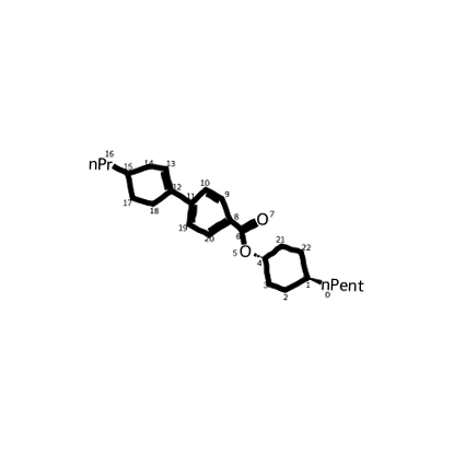 CCCCC[C@H]1CC[C@H](OC(=O)c2ccc(C3=CCC(CCC)CC3)cc2)CC1